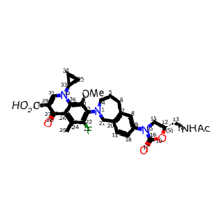 COc1c(N2CCCc3cc(N4C[C@H](CNC(C)=O)OC4=O)ccc3C2)c(F)c(C)c2c(=O)c(C(=O)O)cn(C3CC3)c12